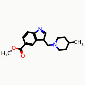 COC(=O)c1ccc2c(c1)C(CN1CCC(C)CC1)C=N2